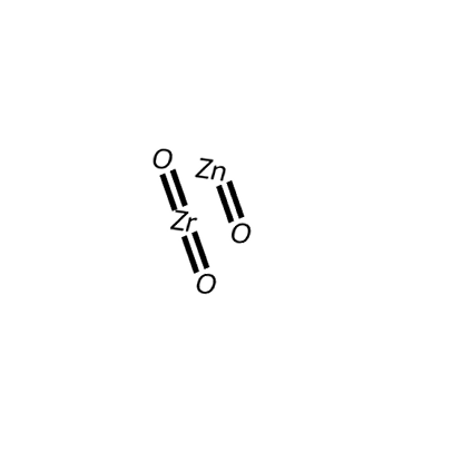 [O]=[Zn].[O]=[Zr]=[O]